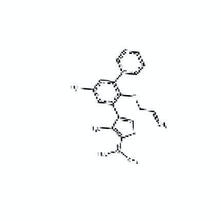 C=CCOc1c(C2=CCC([SiH](C)C)=C2C)cc(C)cc1-c1ccccc1